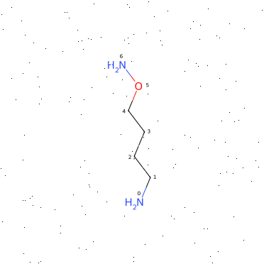 NC[CH]CCON